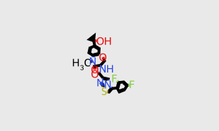 CN1C(=O)[C@@H](NC(=O)c2cn3c(-c4ccc(F)cc4F)csc3n2)COc2cc(C3(O)CC3)ccc21